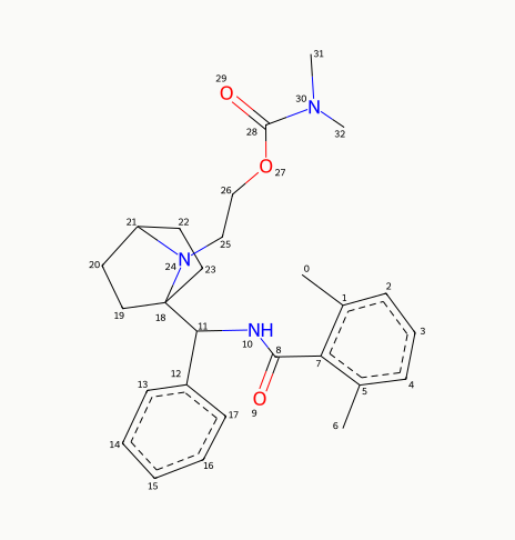 Cc1cccc(C)c1C(=O)NC(c1ccccc1)C12CCC(CC1)N2CCOC(=O)N(C)C